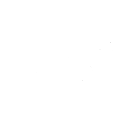 COC(=O)c1c(Cc2ccc(S(C)(=O)=O)cc2)c(=O)c2ccc(C)nc2n1-c1cccc([N+](=O)[O-])c1